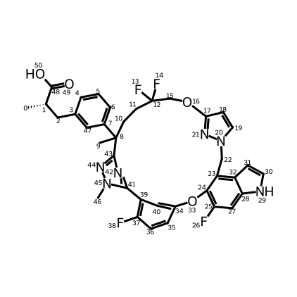 C[C@@H](Cc1cccc(C2(C)CCC(F)(F)COc3ccn(n3)Cc3c(c(F)cc4[nH]ccc34)Oc3ccc(F)c(c3)-c3nc2nn3C)c1)C(=O)O